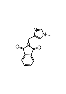 Cn1cnc(CN2C(=O)c3ccccc3C2=O)c1